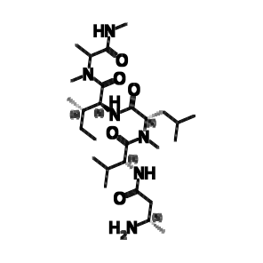 CC[C@H](C)[C@H](NC(=O)[C@H](CC(C)C)N(C)C(=O)[C@H](NC(=O)C[C@H](C)N)C(C)C)C(=O)N(C)C(C)C(=O)NC